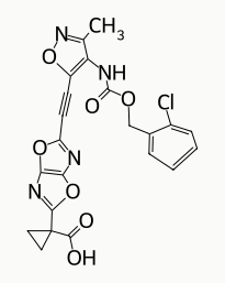 Cc1noc(C#Cc2nc3oc(C4(C(=O)O)CC4)nc3o2)c1NC(=O)OCc1ccccc1Cl